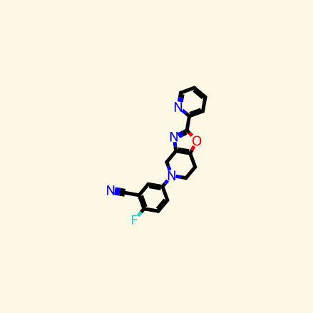 N#Cc1cc(N2CCc3oc(-c4ccccn4)nc3C2)ccc1F